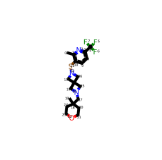 Cc1nc(C(F)(F)F)ccc1SN1CC2(CN(CC3(C)CCOCC3)C2)C1